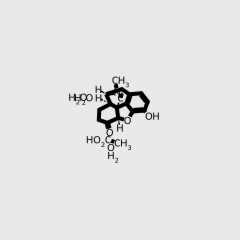 CC(=O)O.CN1CC[C@]23c4c5ccc(O)c4O[C@H]2C(=O)CC[C@H]3[C@H]1C5.O.O.O